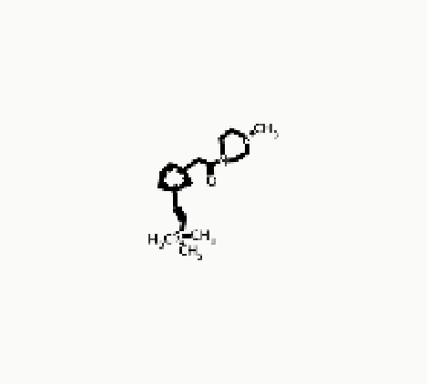 CN1CCN(C(=O)Cc2cccc(C#C[Si](C)(C)C)c2)CC1